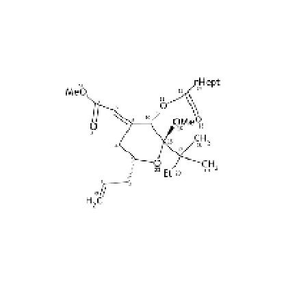 C=CC[C@@H]1C/C(=C\C(=O)OC)[C@H](OC(=O)CCCCCCC)[C@](OC)(C(C)(C)CC)O1